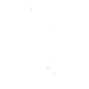 C/C(=C\c1cc(C)c(-c2ccc3[nH]ccc3c2)cc1C)C(=O)NN1CCCC1